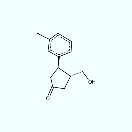 O=C1C[C@@H](CO)[C@H](c2cccc(F)c2)C1